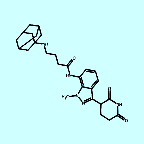 Cn1nc(C2CCC(=O)NC2=O)c2cccc(NC(=O)CCCNC34CC5CC(CC(C5)C3)C4)c21